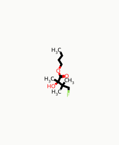 CCCCOC(=O)C(C)(O)C(C)(C)CF